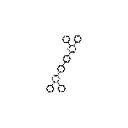 c1ccc(C2=NC(c3ccc(-c4ccc(C5=NCN(c6ccccc6)C(c6ccccc6)=N5)cc4)cc3)=NCN2c2ccccc2)cc1